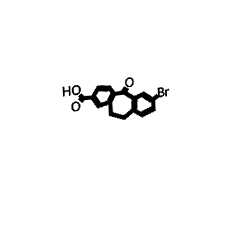 O=C(O)c1ccc2c(c1)CCc1ccc(Br)cc1C2=O